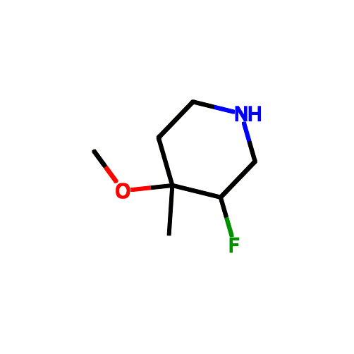 COC1(C)CCNCC1F